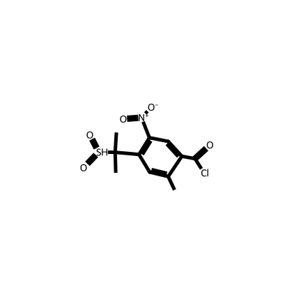 Cc1cc(C(C)(C)[SH](=O)=O)c([N+](=O)[O-])cc1C(=O)Cl